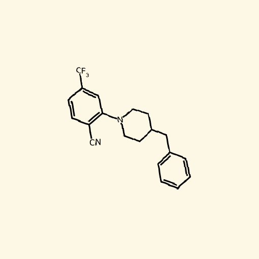 N#Cc1ccc(C(F)(F)F)cc1N1CCC(Cc2ccccc2)CC1